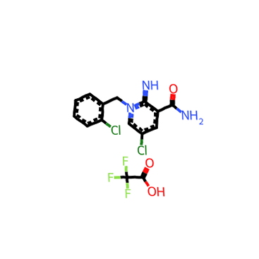 N=c1c(C(N)=O)cc(Cl)cn1Cc1ccccc1Cl.O=C(O)C(F)(F)F